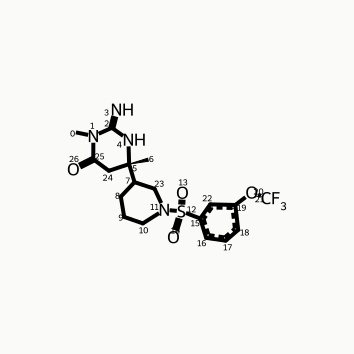 CN1C(=N)N[C@](C)(C2CCCN(S(=O)(=O)c3cccc(OC(F)(F)F)c3)C2)CC1=O